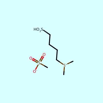 CS(=O)(=O)[O-].C[S+](C)CCCCS(=O)(=O)O